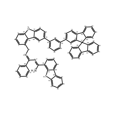 N/C(=N\C(=N/Cc1cccc2oc3ccc(-c4cccc(-c5ccc6c(c5)C5(c7ccccc7-c7ccccc75)c5ccccc5-6)c4)cc3c12)c1ccccc1)c1cccc2c1sc1ccccc12